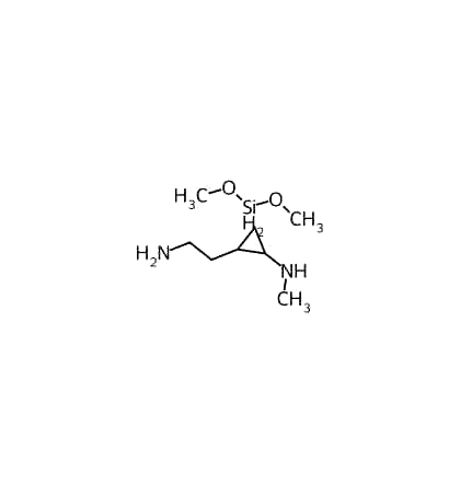 CNC1CC1CCN.CO[SiH2]OC